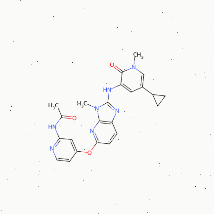 CC(=O)Nc1cc(Oc2ccc3nc(Nc4cc(C5CC5)cn(C)c4=O)n(C)c3n2)ccn1